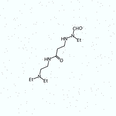 CCN(CC)CCNC(=O)CCNN([C]=O)CC